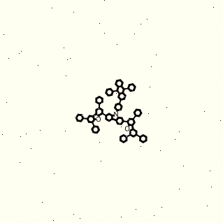 c1ccc(-c2cc(-c3ccccc3)c3oc4c(-c5ccc6c7ccc(-c8cc(-c9ccccc9)cc9c8oc8c(-c%10ccccc%10)cc(-c%10ccccc%10)cc89)cc7n(-c7ccc(-c8ccc9c(-c%10ccccc%10)c%10ccccc%10c(-c%10ccccc%10)c9c8)cc7)c6c5)cc(-c5ccccc5)cc4c3c2)cc1